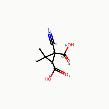 CC1(C)C(C(=O)O)C1(C#N)C(=O)O